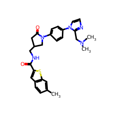 Cc1ccc2cc(C(=O)NCC3CC(=O)N(c4ccc(-n5ccnc5CN(C)C)cc4)C3)sc2c1